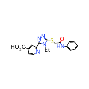 CCn1c(SCC(=O)Nc2ccccc2)nnc1-c1cc(C(=O)O)ccn1